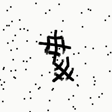 CCC(C(C)(F)F)(C(C)(F)F)C(F)(F)OC(F)(F)C(C(C)(F)F)(C(C)(F)F)C(C)(F)F